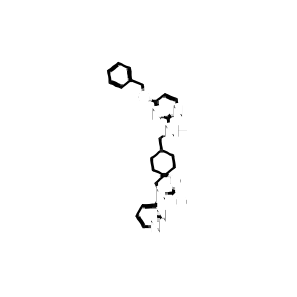 O=C1OC2(CCC(CNc3nccc(OCc4ccccc4)n3)CC2)CN1c1cccnn1